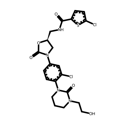 O=C(NC[C@H]1CN(c2ccc(N3CCCN(CCO)C3=O)c(Cl)c2)C(=O)O1)c1ccc(Cl)s1